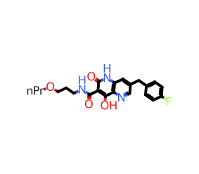 CCCOCCCNC(=O)c1c(O)c2ncc(Cc3ccc(F)cc3)cc2[nH]c1=O